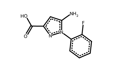 Nc1cc(C(=O)O)nn1-c1ccccc1F